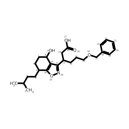 CC(C)CCC1CCC(O)c2c(C(CCCOCc3ccccc3)CC(=O)O)noc21